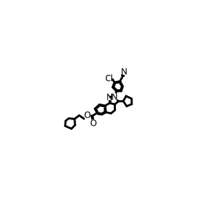 N#Cc1ccc(N2N=C3c4ccc(C(=O)OCCC5CCCCC5)cc4CCC3C2C2CCCC2)cc1Cl